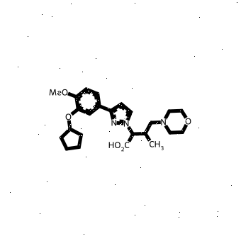 COc1ccc(-c2ccn(C(C(=O)O)C(C)CN3CCOCC3)n2)cc1OC1CCCC1